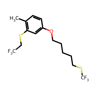 Cc1ccc(OCCCCCSC(F)(F)F)cc1SCC(F)(F)F